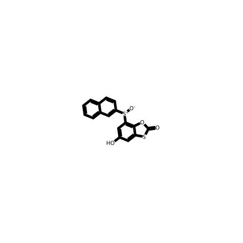 O=c1oc2c([S+]([O-])c3ccc4ccccc4c3)cc(O)cc2s1